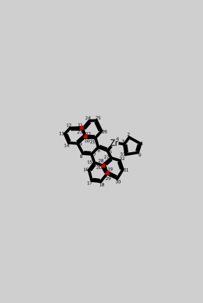 C1=CC[C]([Zr]/[C](=C(/C(=C\c2ccccc2)c2ccccc2)c2ccccc2)c2ccccc2)=C1